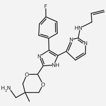 C=CCNc1nccc(-c2[nH]c(C3OCC(C)(CN)CO3)nc2-c2ccc(F)cc2)n1